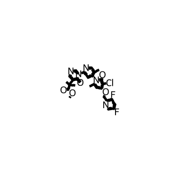 COC(=O)C(C)(C)c1cncn(-c2cc(-n3c(C)cc(OCc4ncc(F)cc4F)c(Cl)c3=O)c(C)cn2)c1=O